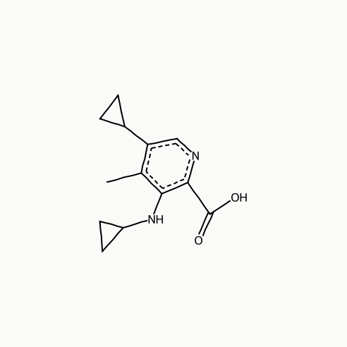 Cc1c(C2CC2)cnc(C(=O)O)c1NC1CC1